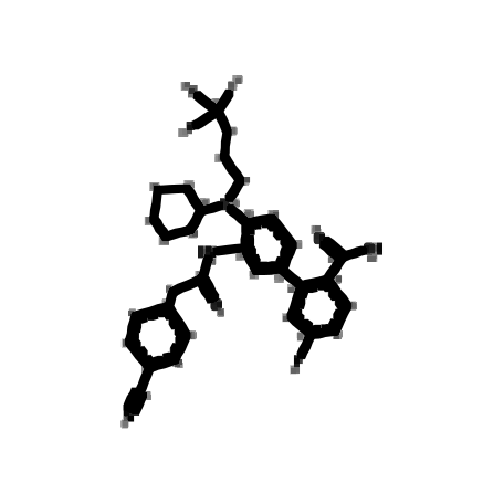 N#Cc1ccc(CC(=O)Nc2cc(-c3cc(F)ccc3C(=O)O)ccc2N(CCCC(F)(F)F)C2CCCCC2)cc1